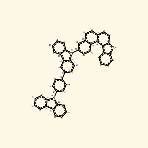 c1ccc2c(c1)sc1ccc3ccc4cc(-n5c6ccccc6c6cc(-c7ccc(-n8c9ccccc9c9ccccc98)cc7)ccc65)ccc4c3c12